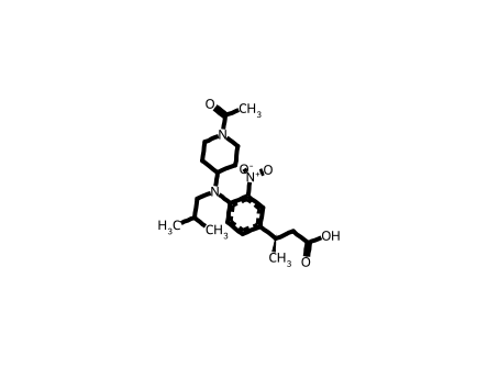 CC(=O)N1CCC(N(CC(C)C)c2ccc([C@H](C)CC(=O)O)cc2[N+](=O)[O-])CC1